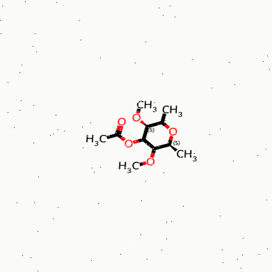 COC1C(OC(C)=O)[C@@H](OC)C(C)O[C@H]1C